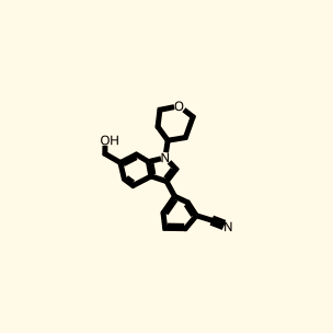 N#Cc1cccc(-c2cn(C3CCOCC3)c3cc(CO)ccc23)c1